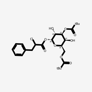 CC(C)(C)C(=O)OC[C@H]1O[C@H](OC(=O)C(Cl)Cc2ccccc2)[C@H](O)[C@@H](OC(=O)C(C)(C)C)[C@H]1O